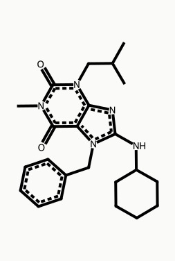 CC(C)Cn1c(=O)n(C)c(=O)c2c1nc(NC1CCCCC1)n2Cc1ccccc1